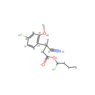 CCCC(F)OC(=O)CC(C)(C#N)c1ccc(F)cc1OC